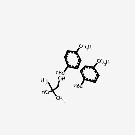 CC(C)(O)CO.CCCCc1ccc(C(=O)O)cc1.CCCCc1ccc(C(=O)O)cc1